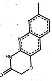 Cc1ccc2cc3c(nc2c1)NC(=O)CO3